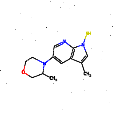 Cc1cn(S)c2ncc(N3CCOCC3C)cc12